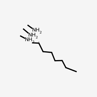 CN.CN.CN.C[CH]CCCCCC